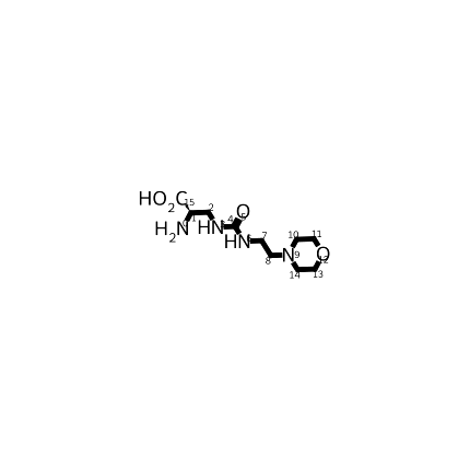 N[C@@H](CNC(=O)NCCN1CCOCC1)C(=O)O